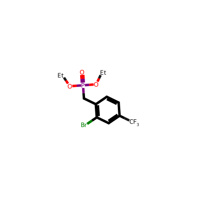 CCOP(=O)(Cc1ccc(C(F)(F)F)cc1Br)OCC